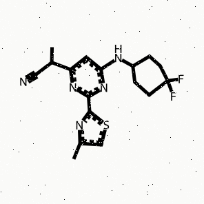 Cc1csc(-c2nc(NC3CCC(F)(F)CC3)cc(C(C)C#N)n2)n1